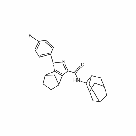 O=C(NC1C2CC3CC(C2)CC1C3)c1nn(-c2ccc(F)cc2)c2c1C1CCC2C1